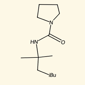 CCC(C)CC(C)(C)NC(=O)N1CCCC1